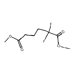 COC(=O)CCCC(F)(F)C(=O)OC